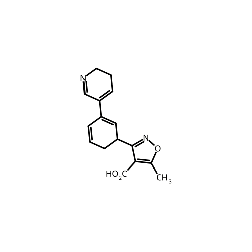 Cc1onc(C2C=C(C3=CCCN=C3)C=CC2)c1C(=O)O